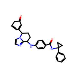 O=C1C=C(C2CCC(Nc3ccc(C(=O)NC4(c5ccccc5)CC4)cc3)c3nccn32)C=CC1